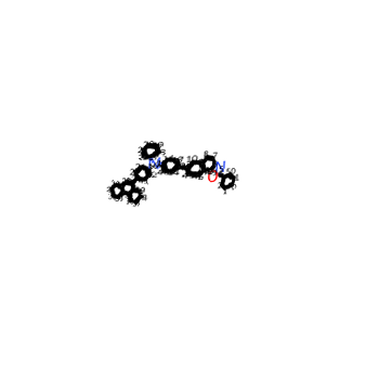 c1ccc(-c2nc3ccc4cc(-c5ccc(N(c6ccccc6)c6ccc(-c7cc8ccccc8c8ccccc78)cc6)cc5)ccc4c3o2)cc1